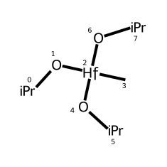 CC(C)[O][Hf]([CH3])([O]C(C)C)[O]C(C)C